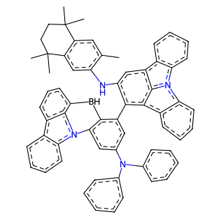 Cc1cc2c(cc1Nc1cc3c4ccccc4n4c5ccccc5c(c1-c1cc(N(c5ccccc5)c5ccccc5)cc5c1Bc1cccc6c7ccccc7n-5c16)c34)C(C)(C)CCC2(C)C